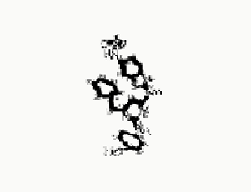 CS(=O)(=O)Nc1ccc2nc(Nc3cc(Cc4ccccc4)nc(N[C@H]4CC[C@H](O)CC4)n3)sc2c1